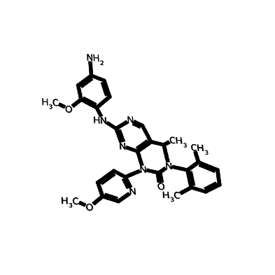 COc1ccc(N2C(=O)N(c3c(C)cccc3C)C(C)c3cnc(Nc4ccc(N)cc4OC)nc32)nc1